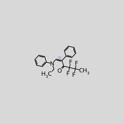 CCN(/C=C(\C(=O)C(F)(F)C(C)(F)F)c1ccccc1)c1ccccc1